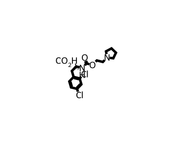 O=C(N[C@H](Cc1ccc(Cl)cc1Cl)C(=O)O)OCCN1CCCC1